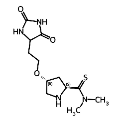 CN(C)C(=S)[C@@H]1C[C@@H](OCCC2NC(=O)NC2=O)CN1